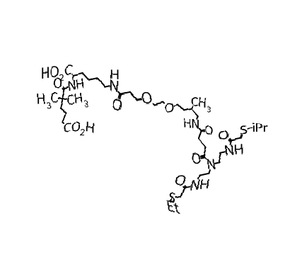 CCSCC(=O)NCCN(CCNC(=O)CSC(C)C)C(=O)CCC(=O)NCC(C)CCOCCOCCC(=O)NCCCC[C@H](NC(=O)C(C)(C)CCCC(=O)O)C(=O)O